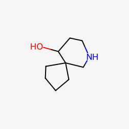 OC1CCNCC12CCCC2